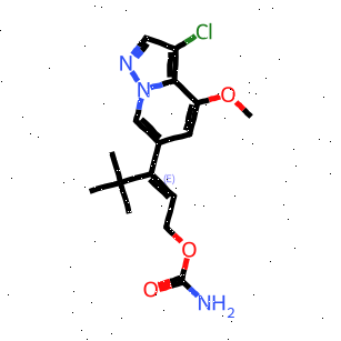 COc1cc(/C(=C/COC(N)=O)C(C)(C)C)cn2ncc(Cl)c12